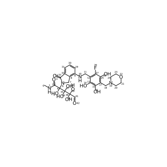 CNC(=O)C(O)(N1Cc2c(NCc3c(O)c(O)c(CN4CCOCC4)c(O)c3F)cccc2C1=O)C(O)(O)C(O)(O)C=O